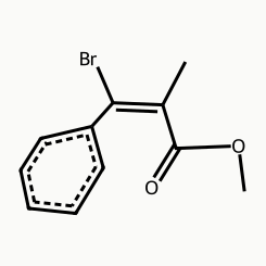 COC(=O)C(C)=C(Br)c1ccccc1